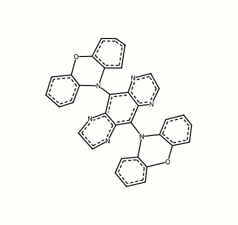 c1ccc2c(c1)Oc1ccccc1N2c1c2nccnc2c(N2c3ccccc3Oc3ccccc32)c2nccnc12